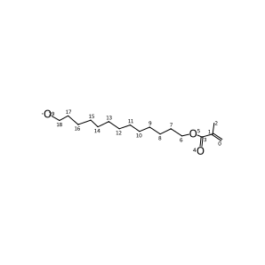 C=C(C)C(=O)OCCCCCCCCCCCCC[O]